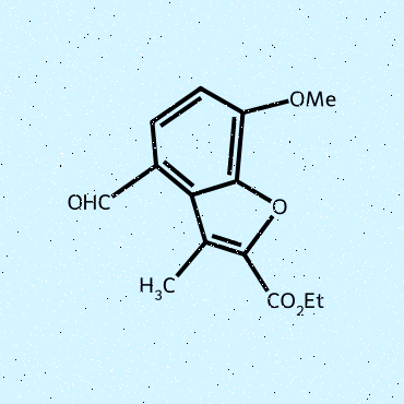 CCOC(=O)c1oc2c(OC)ccc(C=O)c2c1C